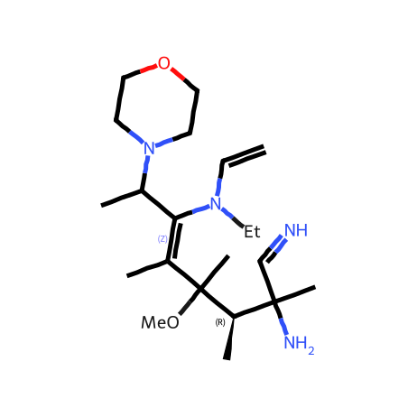 C=CN(CC)/C(=C(/C)C(C)(OC)[C@H](C)C(C)(N)C=N)C(C)N1CCOCC1